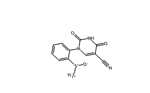 C[S+]([O-])c1ccccc1-n1cc(C#N)c(=O)[nH]c1=O